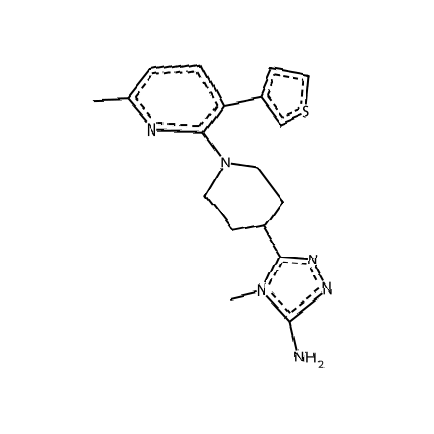 Cc1ccc(-c2ccsc2)c(N2CCC(c3nnc(N)n3C)CC2)n1